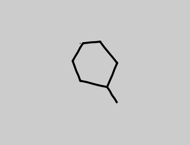 CC1CC[CH]CC1